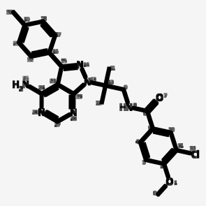 COc1ccc(C(=O)NCC(C)(C)n2nc(-c3ccc(C)cc3)c3c(N)ncnc32)cc1Cl